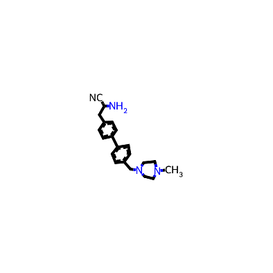 CN1CCN(Cc2ccc(-c3ccc(CC(N)C#N)cc3)cc2)CC1